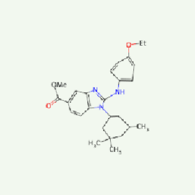 CCOc1ccc(Nc2nc3cc(C(=O)OC)ccc3n2C2CC(C)CC(C)(C)C2)cc1